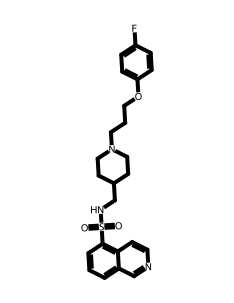 O=S(=O)(NCC1CCN(CCCOc2ccc(F)cc2)CC1)c1cccc2cnccc12